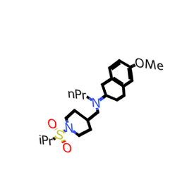 CCCN(CC1CCN(S(=O)(=O)C(C)C)CC1)C1CCc2cc(OC)ccc2C1